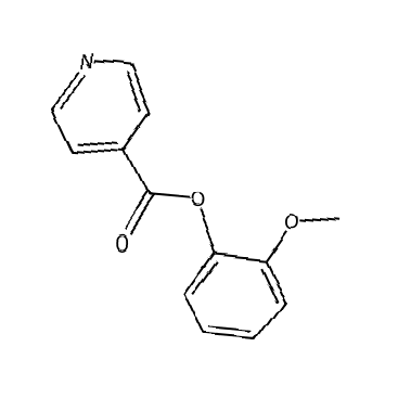 COc1ccccc1OC(=O)c1ccncc1